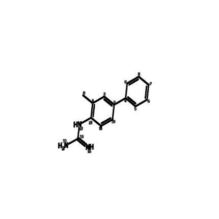 Cc1cc(-c2ccccc2)ccc1NC(=N)N